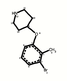 Cc1c(Br)cccc1OC1CCNCC1